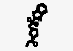 CCC(=O)N1CC[C@H](CS(=O)(=O)c2nc3ccccc3s2)C1